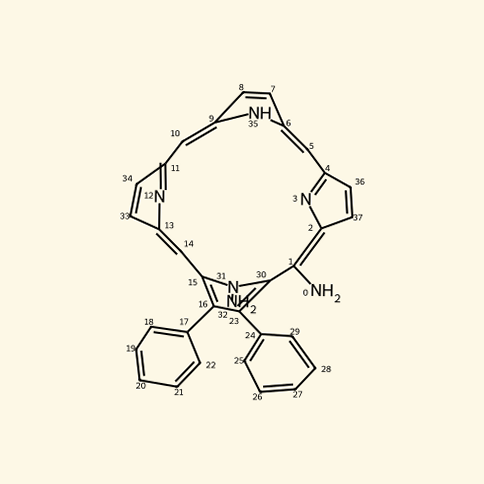 Nc1c2nc(cc3ccc(cc4nc(cc5c(-c6ccccc6)c(-c6ccccc6)c1n5N)C=C4)[nH]3)C=C2